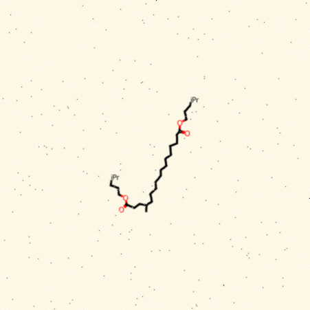 CC(C)CCCOC(=O)CCCCCCCCCCCCC(C)CCC(=O)OCCCC(C)C